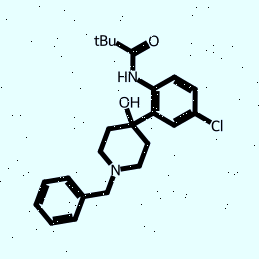 CC(C)(C)C(=O)Nc1ccc(Cl)cc1C1(O)CCN(Cc2ccccc2)CC1